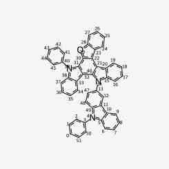 c1ccc(-n2c3ccccc3c3cc(-n4c5ccccc5c5c6c7ccccc7oc6c6c(c7ccccc7n6-c6ccccc6)c54)ccc32)cc1